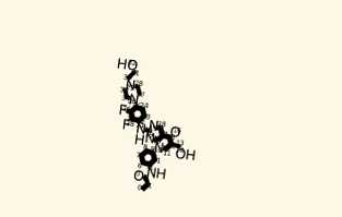 C=CC(=O)Nc1cccc(-n2cc(CO)c(=O)c3cnc(Nc4ccc(N5CCN(CCO)CC5)c(F)c4F)nc32)c1